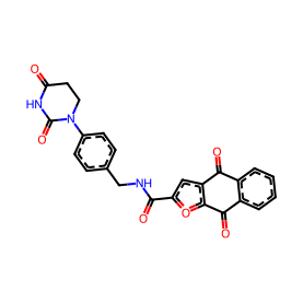 O=C1CCN(c2ccc(CNC(=O)c3cc4c(o3)C(=O)c3ccccc3C4=O)cc2)C(=O)N1